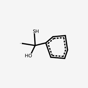 [CH2]C(O)(S)c1ccccc1